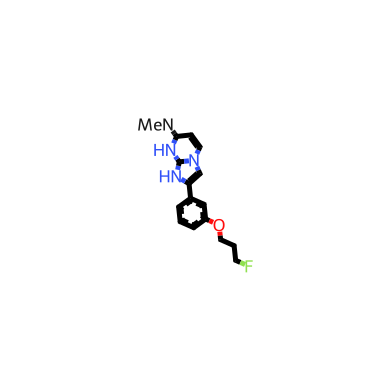 CNC1C=CN2C=C(c3cccc(OCCCF)c3)NC2N1